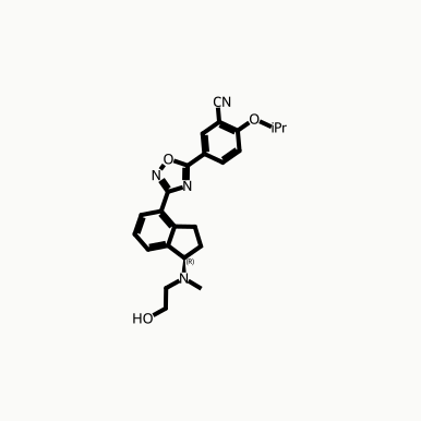 CC(C)Oc1ccc(-c2nc(-c3cccc4c3CC[C@H]4N(C)CCO)no2)cc1C#N